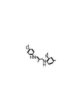 C=Nc1cc(C)ccc1NC/C(C)=C/Nc1ccc(OC)cc1